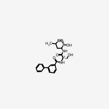 CC(C)CC(NC(=O)[C@H](CO)NC(=O)c1cccc(-c2ccccc2)c1)B(O)O